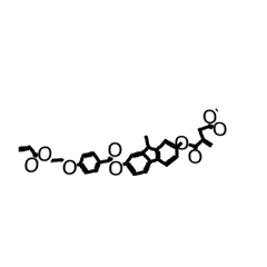 C=CC(=O)OCCOc1ccc(C(=O)Oc2ccc3c(c2)C(C)c2cc(OC(=O)C(=C)CC(=O)OC)ccc2-3)cc1